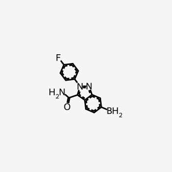 Bc1ccc2c(C(N)=O)n(-c3ccc(F)cc3)nc2c1